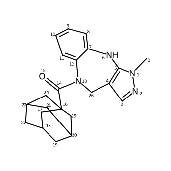 Cn1ncc2c1Nc1ccccc1N(C(=O)C13CC4CC(CC(C4)C1)C3)C2